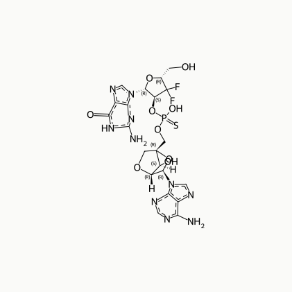 Nc1nc2c(ncn2[C@@H]2O[C@H](CO)C(F)(F)[C@H]2OP(O)(=S)OC[C@@]23CO[C@@H]([C@H](n4cnc5c(N)ncnc54)O2)[C@@H]3O)c(=O)[nH]1